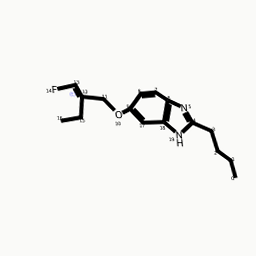 CCCCc1nc2ccc(OC/C(=C/F)CC)cc2[nH]1